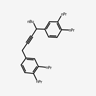 CC[CH]CC(C#CCc1ccc(CCC)c(CCC)c1)c1ccc(CCC)c(CCC)c1